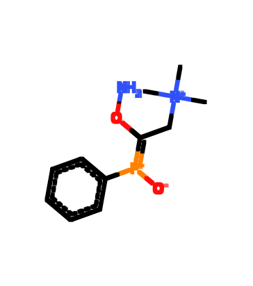 C[N+](C)(C)C/C(ON)=[P+](\[O-])c1ccccc1